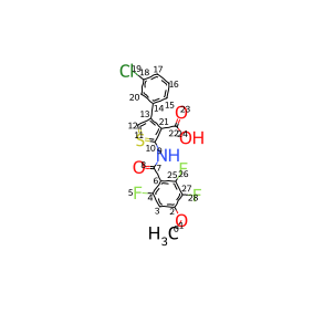 COc1cc(F)c(C(=O)Nc2scc(-c3cccc(Cl)c3)c2C(=O)O)c(F)c1F